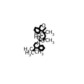 CC(C)(CC(C)(C)C1COCc2ccccc21)OC(=O)N1CCC(C(C)(C)C)c2ccccc21